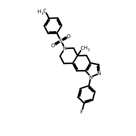 Cc1ccc(S(=O)(=O)N2CCC3=Cc4c(cnn4-c4ccc(F)cc4)CC3(C)C2)cc1